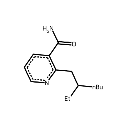 CCCCC(CC)Cc1ncccc1C(N)=O